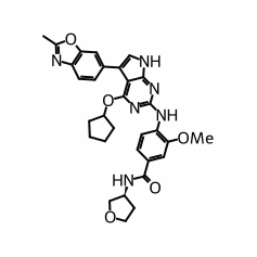 COc1cc(C(=O)N[C@H]2CCOC2)ccc1Nc1nc(OC2CCCC2)c2c(-c3ccc4nc(C)oc4c3)c[nH]c2n1